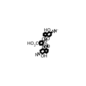 [N-]=[N+]=C1C=Cc2c(cccc2S(=O)(=O)Oc2cc(OS(=O)(=O)c3cccc4c3C=CC(=[N+]=[N-])C4O)cc(C(=O)O)c2)C1O